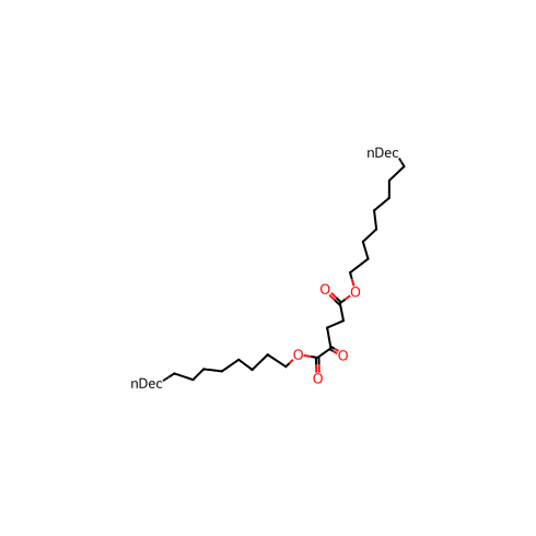 CCCCCCCCCCCCCCCCCCOC(=O)CCC(=O)C(=O)OCCCCCCCCCCCCCCCCCC